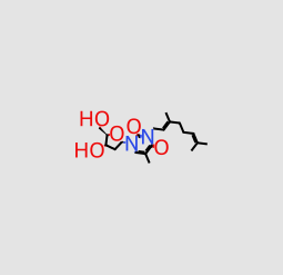 CC(C)=CCC/C(C)=C/Cn1c(=O)c(C)cn([C@H]2C[C@H](O)[C@@H](CO)O2)c1=O